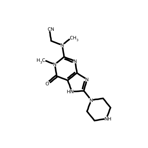 CN(CC#N)c1nc2nc(N3CCNCC3)[nH]c2c(=O)n1C